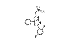 CC(C)(C)[N+](CCCC1(c2ccccc2)NN=C(c2cc(F)ccc2F)S1)C(C)(C)C